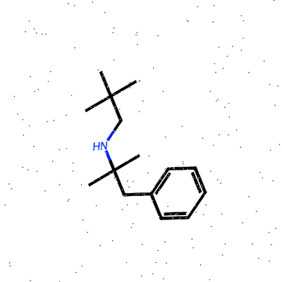 [CH2]C(C)(C)CNC(C)(C)Cc1ccccc1